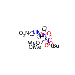 COC(C=CC1C(NC(=O)c2ccccc2C(=O)NC(C)c2ccc([N+](=O)[O-])cc2)C(=O)N1C(=O)OC(C)(C)C)OC